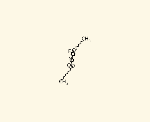 CCCCCCCCCC1COC(c2ccc(-c3ccc(OCCCCCCCC)c(F)c3)nc2)OC1